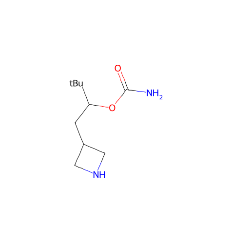 CC(C)(C)C(CC1CNC1)OC(N)=O